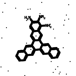 Nc1cc2cc3c4cc5ccccc5cc4c4cc5ccccc5cc4c3cc2c(N)c1N